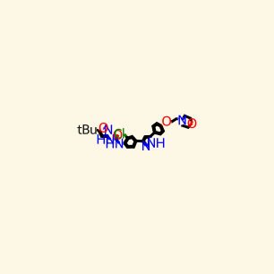 CC(C)(C)c1cc(NC(=O)Nc2ccc(-c3cc(-c4ccc(OCCN5CCOCC5)cc4)[nH]n3)cc2Cl)no1